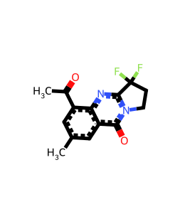 CC(=O)c1cc(C)cc2c(=O)n3c(nc12)C(F)(F)CC3